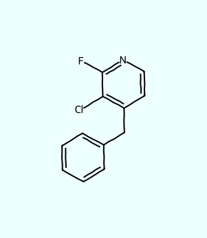 Fc1nccc(Cc2ccccc2)c1Cl